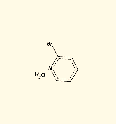 Brc1ccccn1.O